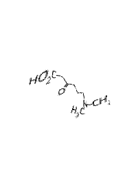 CN(C)CCCC(=O)CC(=O)O